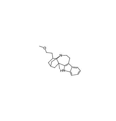 COCCC1CC2CN3CCc4c([nH]c5ccccc45)C(C)(C2)C13